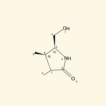 CC1C(=O)N[C@H](CO)[C@@H]1C